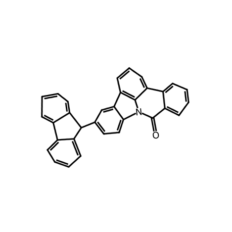 O=c1c2ccccc2c2cccc3c4cc(C5c6ccccc6-c6ccccc65)ccc4n1c23